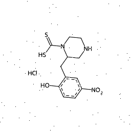 Cl.O=[N+]([O-])c1ccc(O)c(CC2CNCCN2C(=S)S)c1